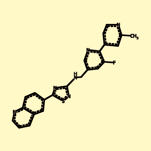 Cc1cc(-c2ncc(CNc3nsc(-c4ccc5ncccc5c4)n3)cc2F)ccn1